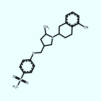 CC1CC(COc2ccc(S(C)(=O)=O)cc2)CN1C1CCc2c(C#N)cccc2C1